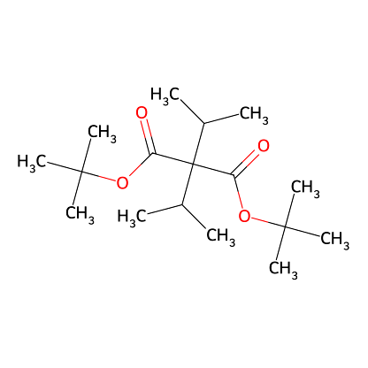 CC(C)C(C(=O)OC(C)(C)C)(C(=O)OC(C)(C)C)C(C)C